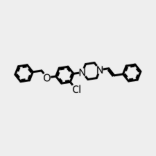 Clc1cc(OCc2ccccc2)ccc1N1CCN(C=Cc2ccccc2)CC1